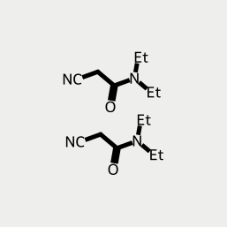 CCN(CC)C(=O)CC#N.CCN(CC)C(=O)CC#N